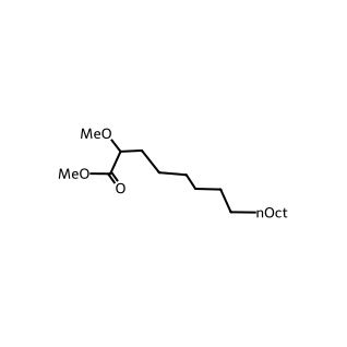 CCCCCCCCCCCCCCC(OC)C(=O)OC